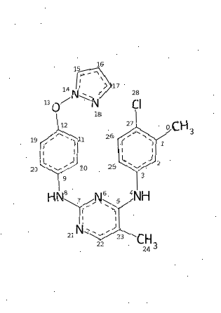 Cc1cc(Nc2nc(Nc3ccc(On4cccn4)cc3)ncc2C)ccc1Cl